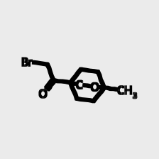 CC12CCC(C(=O)CBr)(CC1)CO2